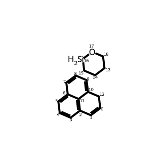 C1=Cc2cccc3cccc(c23)C1.C1CC[SiH2]OC1